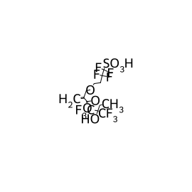 C=C(COCCC(F)(F)C(F)(F)S(=O)(=O)O)C(=O)OC(C)C(O)(C(F)(F)F)C(F)(F)F